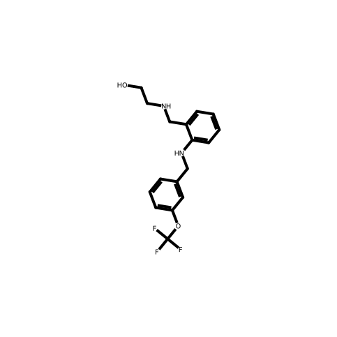 OCCNCc1ccccc1NCc1cccc(OC(F)(F)F)c1